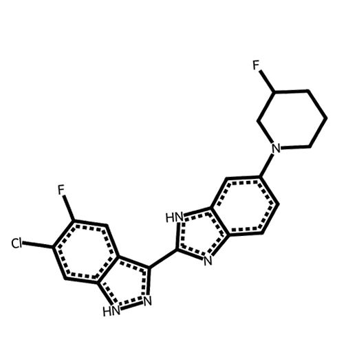 Fc1cc2c(-c3nc4ccc(N5CCCC(F)C5)cc4[nH]3)n[nH]c2cc1Cl